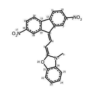 CN1/C(=C\C=C2c3cc([N+](=O)[O-])ccc3-c3ccc([N+](=O)[O-])cc32)Oc2ccccc21